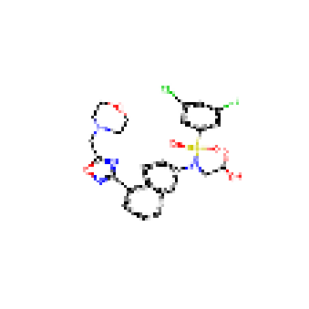 O=C(O)CN(c1ccc2c(-c3noc(CN4CCOCC4)n3)cccc2c1)S(=O)(=O)c1cc(Cl)cc(Cl)c1